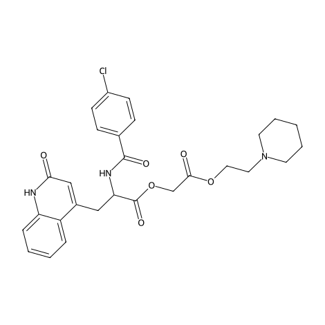 O=C(COC(=O)C(Cc1cc(=O)[nH]c2ccccc12)NC(=O)c1ccc(Cl)cc1)OCCN1CCCCC1